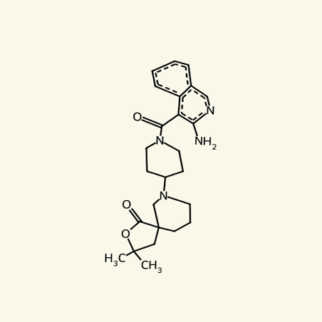 CC1(C)CC2(CCCN(C3CCN(C(=O)c4c(N)ncc5ccccc45)CC3)C2)C(=O)O1